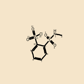 CNS(=O)(=O)c1ccccc1S(=O)(=O)Cl